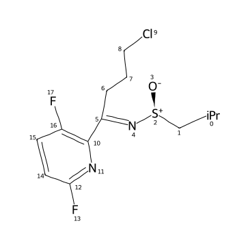 CC(C)C[S@+]([O-])/N=C(\CCCCl)c1nc(F)ccc1F